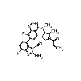 C=CC(=O)N1CCC(N(C)c2ncnc3c(F)c(-c4ccc(F)c5sc(N)c(C#N)c45)ccc23)C1C